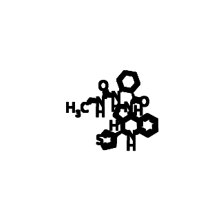 CCNC(=O)N[C@@H]1CCCC[C@@H]1C(=O)N1CC[C@@H]2[C@H](c3ccsc3)Nc3ccccc3[C@@H]21